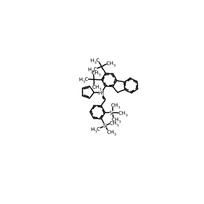 CC(C)(C)c1cc2c([c]([Hf](=[CH]c3cccc([Si](C)(C)C)c3[Si](C)(C)C)[CH]3C=CC=C3)c1C(C)(C)C)Cc1ccccc1-2